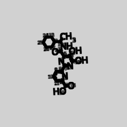 CC(NC(=O)c1nc(-c2cccc(C(=O)O)n2)nc(O)c1O)C1CCCCC1